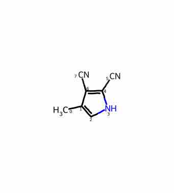 Cc1c[nH]c(C#N)c1C#N